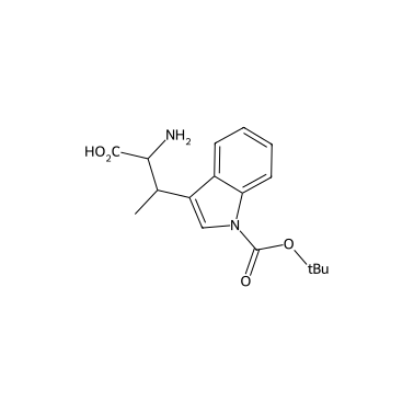 CC(c1cn(C(=O)OC(C)(C)C)c2ccccc12)C(N)C(=O)O